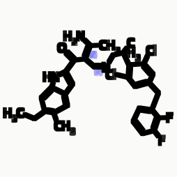 CCc1cc2[nH]c(C(=O)C(/C=N\CC(C)c3c(Cl)cc(Cc4cccc(F)c4F)cc3Cl)=C(/C)N)cc2cc1C